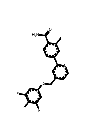 Cc1cc(-c2cc(COc3cc(F)c(F)c(F)c3)ccn2)ccc1C(N)=O